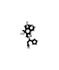 CC1(O)c2cn(C(CC#N)C3CCCC3)nc2-c2ccnc3[nH]cc1c23